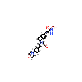 O=C(/C=C/c1ccc2c(c1)CCC2N(CCO)CCc1ccc(N2CCOCC2)cc1)NO